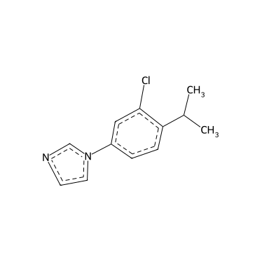 CC(C)c1ccc(-n2ccnc2)cc1Cl